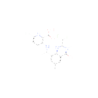 Cc1cc(C(C)Nc2ccc(Cl)nc2C(=O)O)c2nc(C(F)F)n(C)c(=O)c2c1